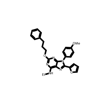 CCNc1nc(OCCCc2ccccc2)nc2c1nc(-c1ccco1)n2-c1ccc(OC)cc1